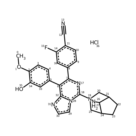 COc1ccc(-c2c(-c3ccc(C#N)c(F)c3)nc(N3CC4CCC(C3)C4N)n3ccnc23)cc1O.Cl